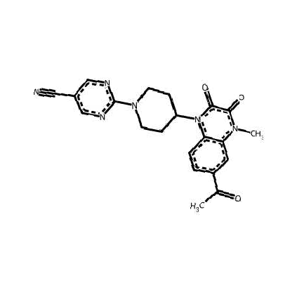 CC(=O)c1ccc2c(c1)n(C)c(=O)c(=O)n2C1CCN(c2ncc(C#N)cn2)CC1